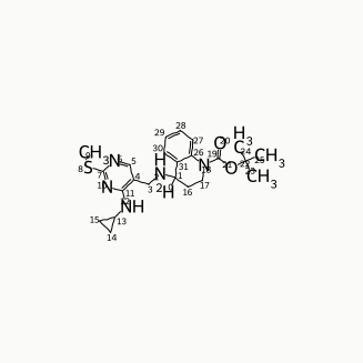 [2H]C1(NCc2cnc(SC)nc2NC2CC2)CCN(C(=O)OC(C)(C)C)c2ccccc21